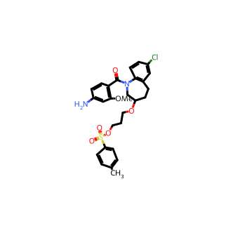 COc1cc(N)ccc1C(=O)N1CC(OCCCOS(=O)(=O)c2ccc(C)cc2)CCc2cc(Cl)ccc21